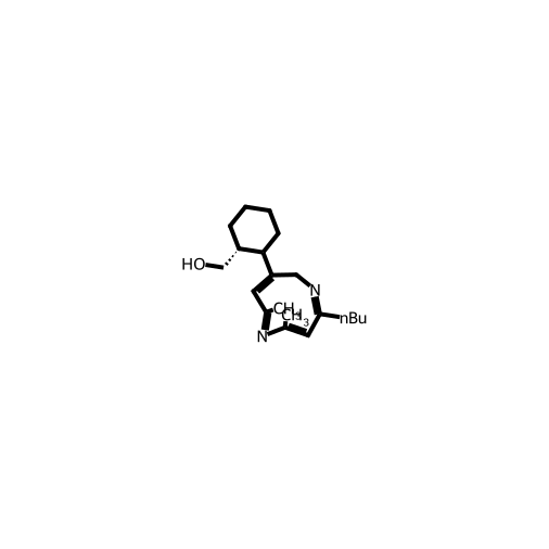 CCCCC1=N\C\C(C2CCCC[C@H]2CO)=C/C(C)=N/C(C)=C/1